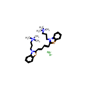 C[N+](C)(C)CCCN1c2ccccc2SC1/C=C/C=C/c1sc2ccccc2[n+]1CCC[N+](C)(C)C.[Br-].[Br-].[Br-]